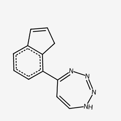 C1=Cc2cccc(C3=NN=NNC=C3)c2C1